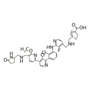 COc1nc(-c2ccnc(-c3cccc(Nc4nccc(CNCC56CCC(C(=O)O)(CC5)C6)c4F)c3Cl)c2Cl)ccc1CNCC1CCC(=O)N1